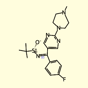 CN1CCN(c2ncc(/C(=N\[S@@+]([O-])C(C)(C)C)c3ccc(F)cc3)cn2)CC1